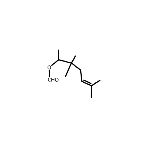 CC(C)=CCC(C)(C)C(C)OC=O